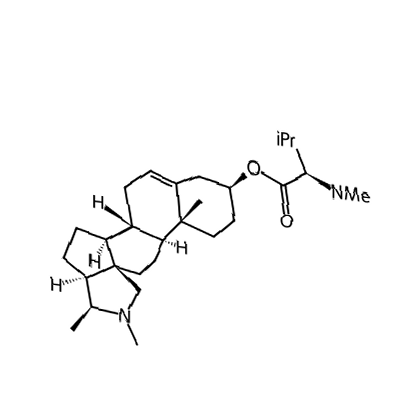 CN[C@@H](C(=O)O[C@H]1CC[C@@]2(C)C(=CC[C@H]3[C@@H]4CC[C@@H]5[C@H](C)N(C)C[C@@]54CC[C@@H]32)C1)C(C)C